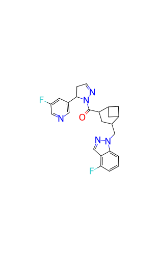 O=C(C1CC(Cn2ncc3c(F)cccc32)C2CC1C2)N1N=CCC1c1cncc(F)c1